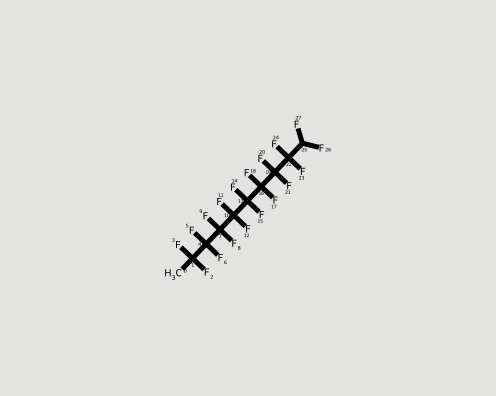 CC(F)(F)C(F)(F)C(F)(F)C(F)(F)C(F)(F)C(F)(F)C(F)(F)C(F)(F)C(F)F